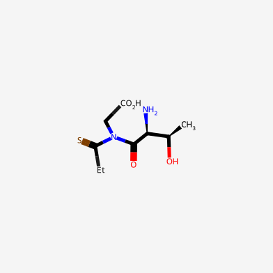 CCC(=S)N(CC(=O)O)C(=O)[C@@H](N)[C@@H](C)O